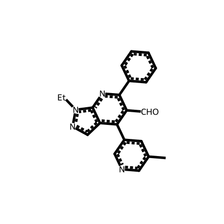 CCn1ncc2c(-c3cncc(C)c3)c(C=O)c(-c3ccccc3)nc21